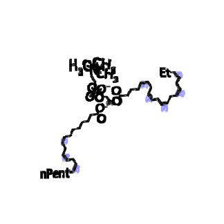 CC/C=C\C/C=C\C/C=C\C/C=C\C/C=C\CCCC(=O)O[C@H](COC(=O)CCCCCC/C=C\C/C=C\C/C=C\CCCCC)COP(=O)([O-])OCC[N+](C)(C)C